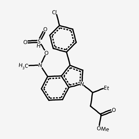 CCC(CC(=O)OC)n1cc(-c2ccc(Cl)cc2)c2c(N(C)O[SH](=O)=O)cccc21